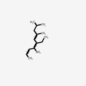 C\C=C/C(N)=C(\C=C(/C)CC(C)C)CC